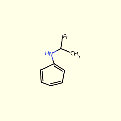 CC(C)C(C)Nc1ccccc1